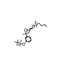 CCCC[Si](C)(C)OC=CCC(C)(O)c1cccc(O[Si](C)(C)C(C)(C)C)c1